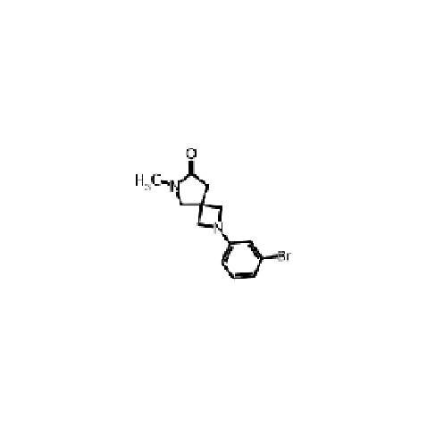 CN1CC2(CC1=O)CN(c1cccc(Br)c1)C2